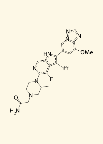 COc1cc(-c2[nH]c3cnc(N4CCN(CC(N)=O)CC4C)c(F)c3c2C(C)C)cn2ncnc12